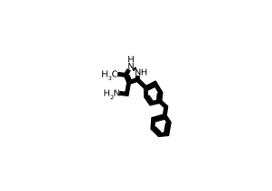 CC1=C(CN)C(c2ccc(Cc3ccccc3)cc2)NN1